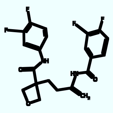 C=C(CCC1(C(=O)Nc2ccc(F)c(F)c2)COC1)NC(=O)c1ccc(F)c(F)c1